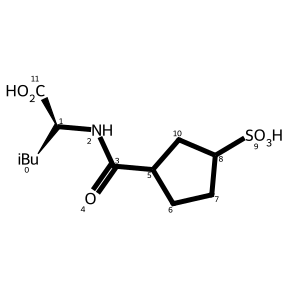 CC[C@H](C)[C@H](NC(=O)C1CCC(S(=O)(=O)O)C1)C(=O)O